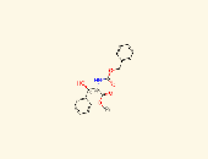 CC(C)OC(=O)[C@@H](NC(=O)OCc1ccccc1)[C@H](O)c1ccccc1